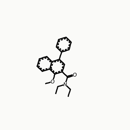 CCN(CC)C(=O)c1cc(-c2ccccc2)c2ccccc2c1OC